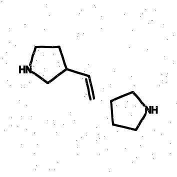 C1CCNC1.C=CC1CCNC1